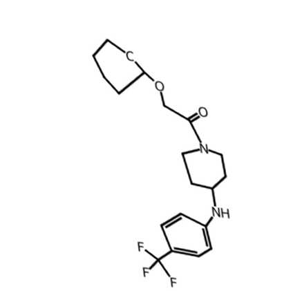 O=C(COC1CCCCC1)N1CCC(Nc2ccc(C(F)(F)F)cc2)CC1